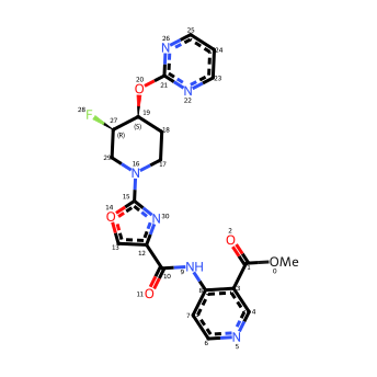 COC(=O)c1cnccc1NC(=O)c1coc(N2CC[C@H](Oc3ncccn3)[C@H](F)C2)n1